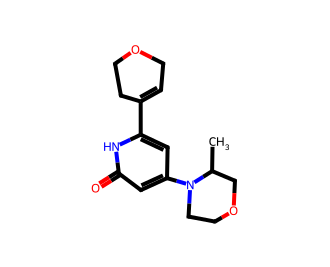 CC1COCCN1c1cc(C2=CCOCC2)[nH]c(=O)c1